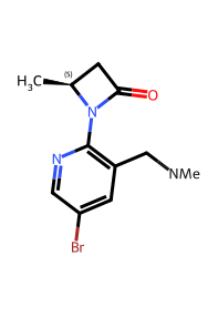 CNCc1cc(Br)cnc1N1C(=O)C[C@@H]1C